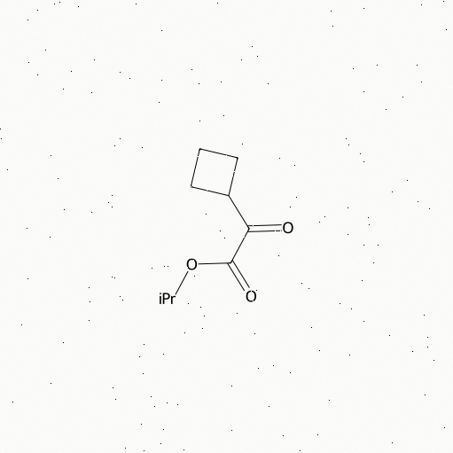 CC(C)OC(=O)C(=O)C1CCC1